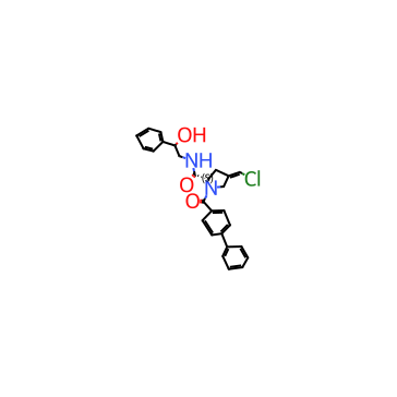 O=C(NCC(O)c1ccccc1)[C@@H]1CC(=CCl)CN1C(=O)c1ccc(-c2ccccc2)cc1